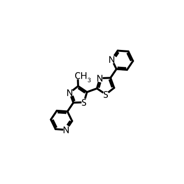 Cc1nc(-c2cccnc2)sc1-c1nc(-c2ccccn2)cs1